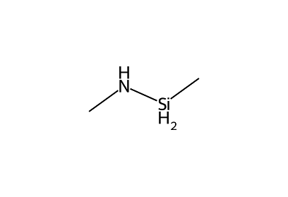 CN[SiH2]C